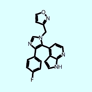 Fc1ccc(-c2ncn(Cc3ccon3)c2-c2ccnc3[nH]ccc23)cc1